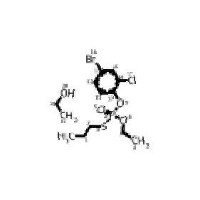 CCCSP(=O)(OCC)Oc1ccc(Br)cc1Cl.CCO